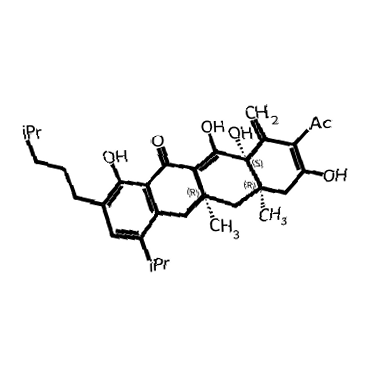 C=C1C(C(C)=O)=C(O)C[C@@]2(C)C[C@@]3(C)Cc4c(C(C)C)cc(CCCC(C)C)c(O)c4C(=O)C3=C(O)[C@@]12O